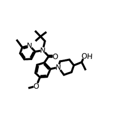 COc1ccc(C(=O)N(CC(C)(C)C)c2cccc(C)n2)c(N2CCC(C(C)O)CC2)c1